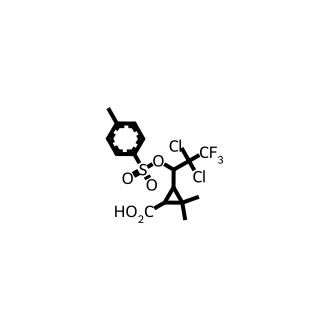 Cc1ccc(S(=O)(=O)OC(C2C(C(=O)O)C2(C)C)C(Cl)(Cl)C(F)(F)F)cc1